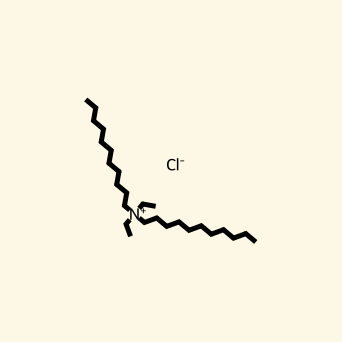 CCCCCCCCCCC[N+](CC)(CC)CCCCCCCCCCC.[Cl-]